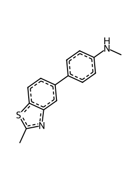 CNc1ccc(-c2ccc3sc(C)nc3c2)cc1